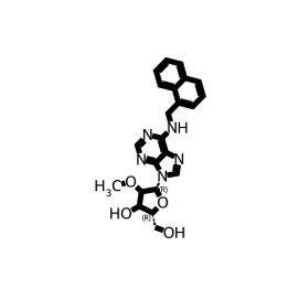 COC1C(O)[C@@H](CO)O[C@H]1n1cnc2c(NCc3cccc4ccccc34)ncnc21